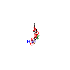 CCCCCCOc1c(C)c(C)c2c(c1C)CCC(C)(COc1ccc(/C=C3/SC(=O)NC3=O)cc1C(F)(F)F)O2